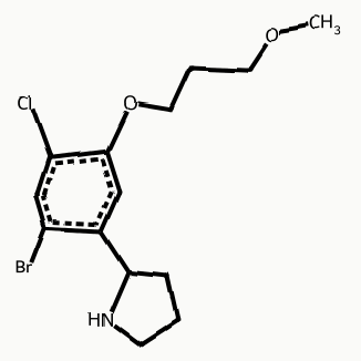 COCCCOc1cc(C2CCCN2)c(Br)cc1Cl